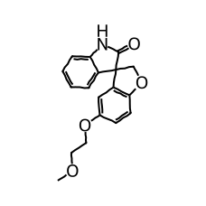 COCCOc1ccc2c(c1)C1(CO2)C(=O)Nc2ccccc21